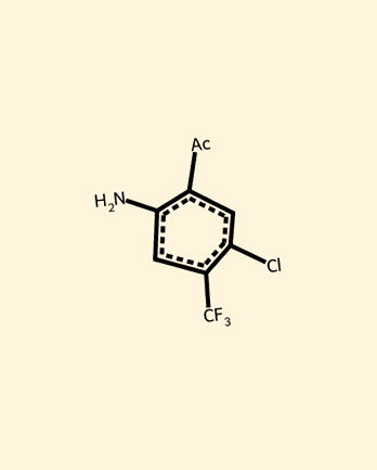 CC(=O)c1cc(Cl)c(C(F)(F)F)cc1N